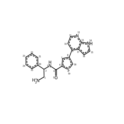 NCC(NC(=O)c1cc(-c2ccnc3[nH]ccc23)cs1)c1ccccc1